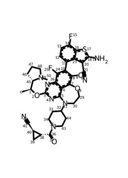 C[C@H](Oc1nc2c3c(c(Cl)c(-c4ccc(F)c5sc(N)c(C#N)c45)c(F)c3n1)OCCN2C1CCN(C(=O)[C@@H]2C[C@H]2C#N)CC1)[C@@H]1CCCN1C